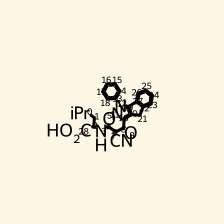 CC(C)CC(NC(=O)C(C#N)C(=O)c1nn(-c2ccccc2)c2c1Cc1ccccc1-2)C(=O)O